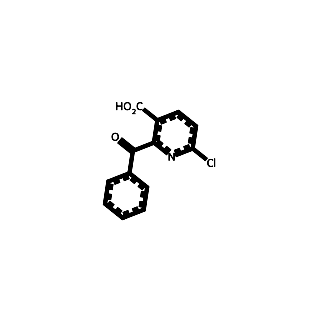 O=C(O)c1ccc(Cl)nc1C(=O)c1ccccc1